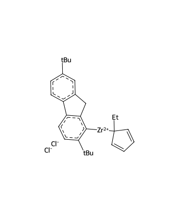 CC[C]1([Zr+2][c]2c(C(C)(C)C)ccc3c2Cc2cc(C(C)(C)C)ccc2-3)C=CC=C1.[Cl-].[Cl-]